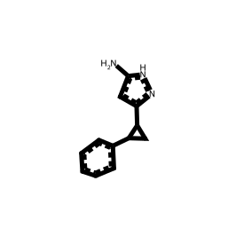 Nc1cc(C2CC2c2ccccc2)n[nH]1